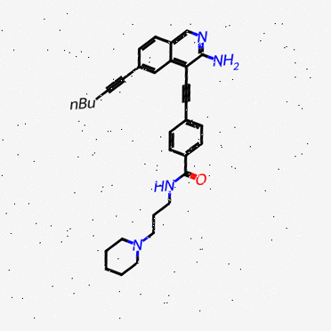 CCCCC#Cc1ccc2cnc(N)c(C#Cc3ccc(C(=O)NCCCN4CCCCC4)cc3)c2c1